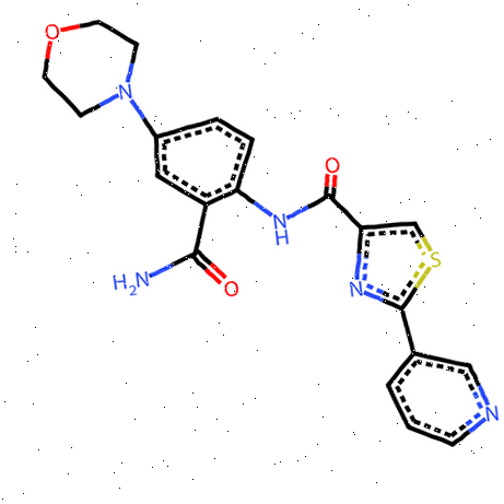 NC(=O)c1cc(N2CCOCC2)ccc1NC(=O)c1csc(-c2cccnc2)n1